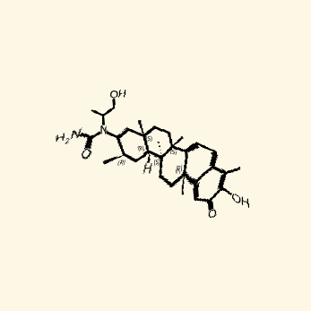 CC1=C(O)C(=O)C=C2C1=CC=C1[C@@]2(C)CC[C@@]2(C)[C@@H]3C[C@@H](C)C(N(C(N)=O)C(C)CO)C[C@]3(C)CC[C@]12C